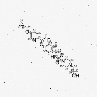 CC[C@@H](Oc1ccc(C(=O)NS(=O)(=O)N2CCN(CC(C)(C)O)CC2)c(F)c1F)c1ccc(OCC2CC2)cn1